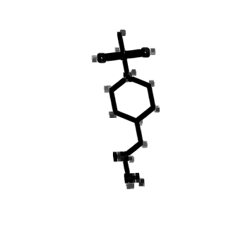 CS(=O)(=O)N1CCC(CNN)CC1